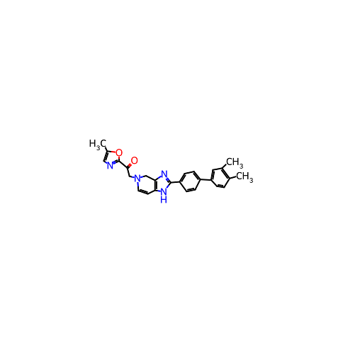 Cc1cnc(C(=O)CN2C=Cc3[nH]c(-c4ccc(-c5ccc(C)c(C)c5)cc4)nc3C2)o1